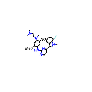 COc1cc(N(C)CCN(C)C)c([N+](=O)[O-])cc1Nc1nccc(-c2cn(C)c3c(F)cccc23)n1